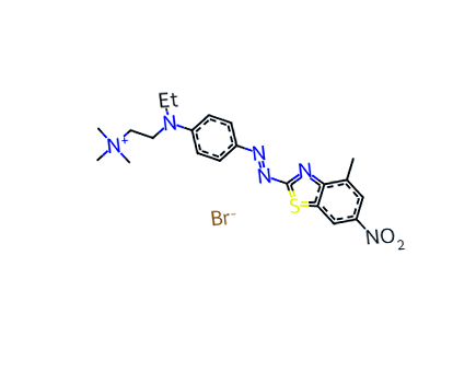 CCN(CC[N+](C)(C)C)c1ccc(N=Nc2nc3c(C)cc([N+](=O)[O-])cc3s2)cc1.[Br-]